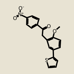 COc1ccc(-c2cccs2)cc1CC(=O)c1ccc([N+](=O)[O-])cc1